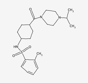 Cc1ccccc1S(=O)(=O)NC1CCC(C(=O)N2CCN(C(C)C)CC2)CC1